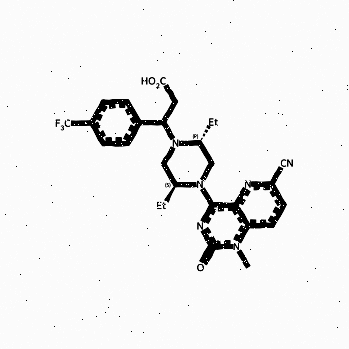 CC[C@H]1CN(C(CC(=O)O)c2ccc(C(F)(F)F)cc2)[C@H](CC)CN1c1nc(=O)n(C)c2ccc(C#N)nc12